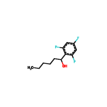 CCCCCC(O)c1c(F)cc(F)cc1F